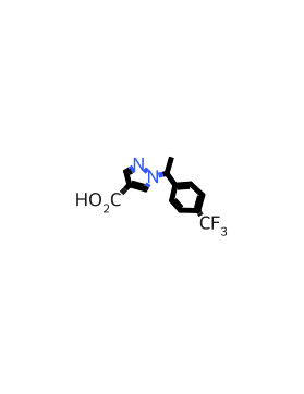 CC(c1ccc(C(F)(F)F)cc1)n1cc(C(=O)O)cn1